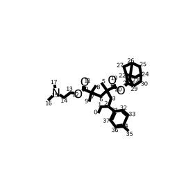 CCC(CC(C)(CC(C)(C)C(=O)OCCN(C)C)C(=O)OC1C2CC3CC(C2)CC1C3)c1ccc(C)cc1